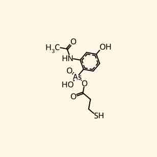 CC(=O)Nc1cc(O)ccc1[As](=O)(O)OC(=O)CCS